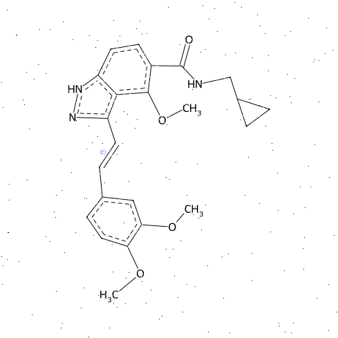 COc1ccc(/C=C/c2n[nH]c3ccc(C(=O)NCC4CC4)c(OC)c23)cc1OC